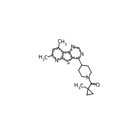 Cc1cc(C)c2c(n1)sc1c(C3CCN(C(=O)C4(C)CC4)CC3)ncnc12